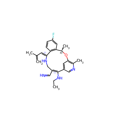 C=C(C)/C=C1\NC/C(C=N)=C(/NCC)c2cnc(C)c(c2)O[C@H](C)c2cc(F)ccc21